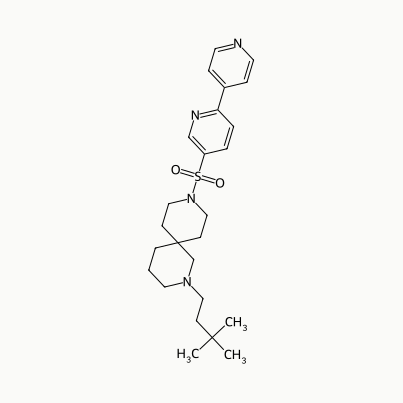 CC(C)(C)CCN1CCCC2(CCN(S(=O)(=O)c3ccc(-c4ccncc4)nc3)CC2)C1